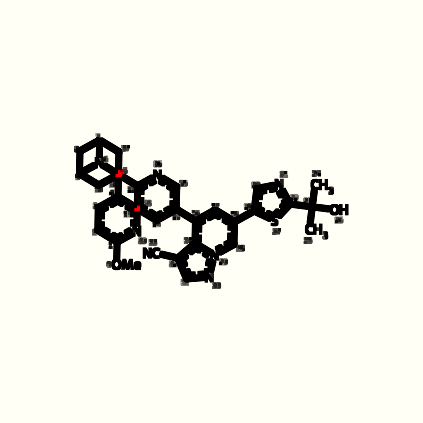 COc1ccc(CN2C3CC2CN(c2ccc(-c4cc(-c5cnc(C(C)(C)O)s5)cn5ncc(C#N)c45)cn2)C3)cn1